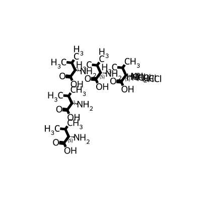 CC(C)[C@H](N)C(=O)O.CC(C)[C@H](N)C(=O)O.CC(C)[C@H](N)C(=O)O.CC(C)[C@H](N)C(=O)O.CC(C)[C@H](N)C(=O)O.Cl.Cl.Cl.Cl.Cl